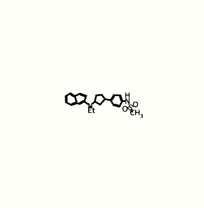 CCN(c1ccc2ccccc2c1)C1CCC(c2ccc(NS(C)(=O)=O)cc2)C1